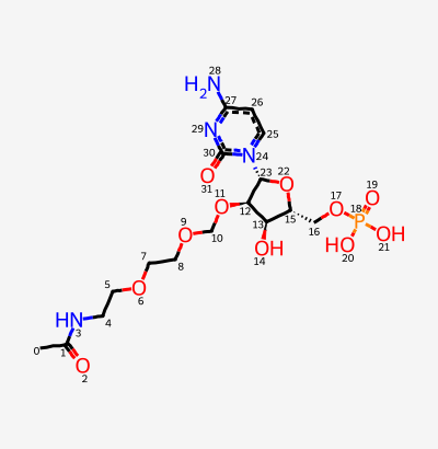 CC(=O)NCCOCCOCO[C@@H]1[C@H](O)[C@@H](COP(=O)(O)O)O[C@H]1n1ccc(N)nc1=O